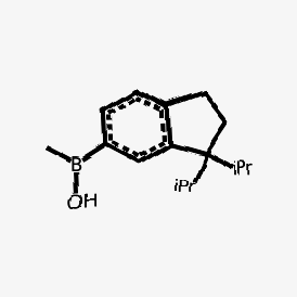 CB(O)c1ccc2c(c1)C(C(C)C)(C(C)C)CC2